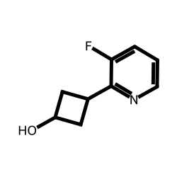 OC1CC(c2ncccc2F)C1